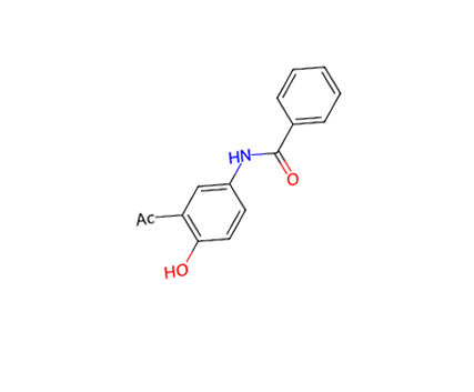 CC(=O)c1cc(NC(=O)c2ccccc2)ccc1O